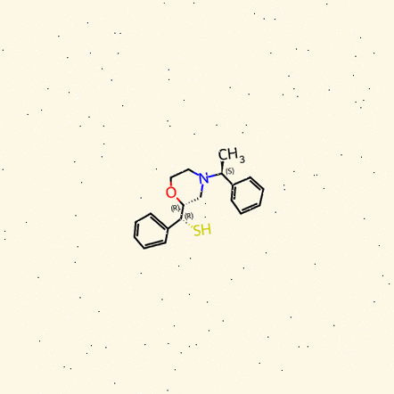 C[C@@H](c1ccccc1)N1CCO[C@@H]([C@H](S)c2ccccc2)C1